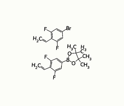 C=Cc1c(F)cc(B2OC(C)(C)C(C)(C)O2)cc1F.C=Cc1c(F)cc(Br)cc1F